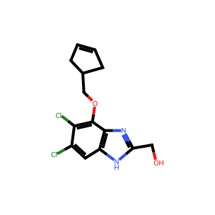 OCc1nc2c(OCC3CC=CC3)c(Cl)c(Cl)cc2[nH]1